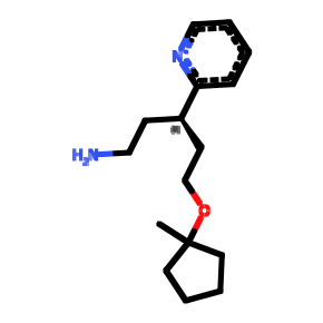 CC1(OCC[C@@H](CCN)c2ccccn2)CCCC1